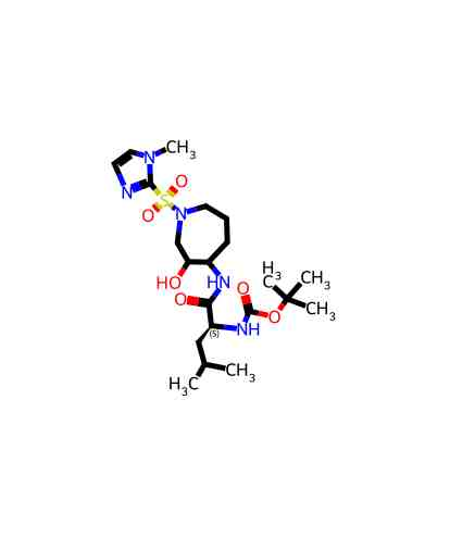 CC(C)C[C@H](NC(=O)OC(C)(C)C)C(=O)NC1CCCN(S(=O)(=O)c2nccn2C)CC1O